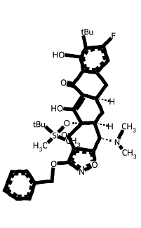 CN(C)[C@@H]1c2onc(OCc3ccccc3)c2C(=O)[C@@]2(O[Si](C)(C)C(C)(C)C)C(O)=C3C(=O)c4c(cc(F)c(C(C)(C)C)c4O)C[C@H]3C[C@@H]12